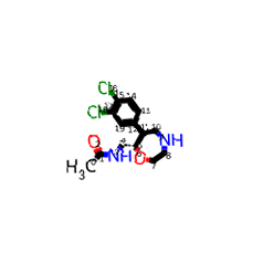 CC(=O)NC[C@H]1OCCNCC1c1ccc(Cl)c(Cl)c1